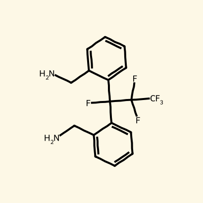 NCc1ccccc1C(F)(c1ccccc1CN)C(F)(F)C(F)(F)F